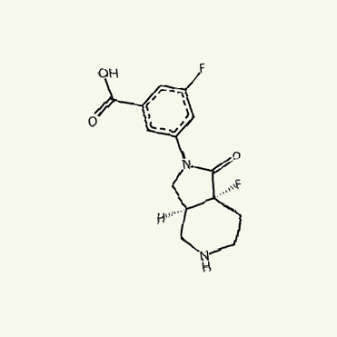 O=C(O)c1cc(F)cc(N2C[C@@H]3CNCC[C@]3(F)C2=O)c1